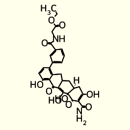 CCOC(=O)CNC(=O)c1cccc(-c2ccc(O)c3c2CC2C[C@H]4CC(O)=C(C(N)=O)C(=O)[C@@]4(O)C(O)=C2C3=O)c1